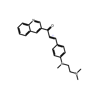 CN(C)CCN(C)c1ccc(/C=C/C(=O)c2cnc3ccccc3c2)cc1